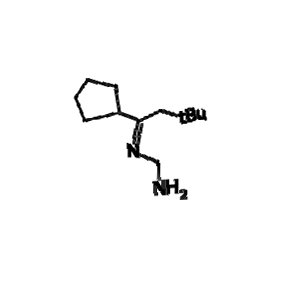 CC(C)(C)C/C(=N\CN)C1CCCC1